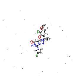 CC(C)[C@@H](NC(=O)c1cc(=O)[nH]c(N2CC[C@H](F)C2)n1)c1ccc(OC(F)(F)F)c(F)c1